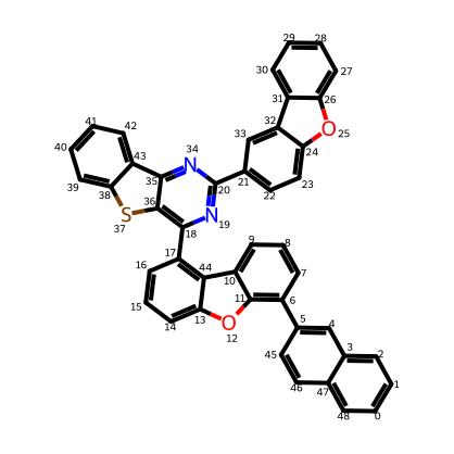 c1ccc2cc(-c3cccc4c3oc3cccc(-c5nc(-c6ccc7oc8ccccc8c7c6)nc6c5sc5ccccc56)c34)ccc2c1